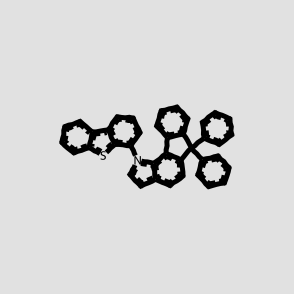 c1ccc(C2(c3ccccc3)c3ccccc3-c3c2ccc2ccn(-c4cccc5c4sc4ccccc45)c32)cc1